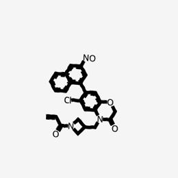 C=CC(=O)N1CC(CN2C(=O)COc3cc(-c4cc(N=O)cc5ccccc45)c(Cl)cc32)C1